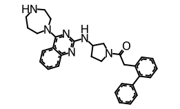 O=C(Cc1ccccc1-c1ccccc1)N1CCC(Nc2nc(N3CCCNCC3)c3ccccc3n2)C1